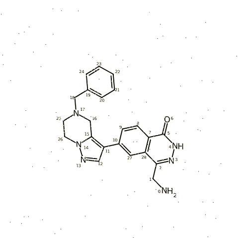 NCc1n[nH]c(=O)c2ccc(-c3cnn4c3CN(Cc3ccccc3)CC4)cc12